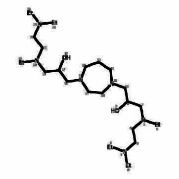 CCN(CC)CCN(CC)CC(O)CN1CCCN(CC(O)CN(CC)CCN(CC)CC)CC1